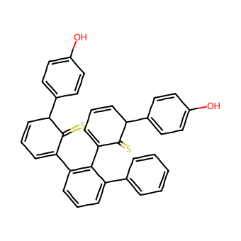 Oc1ccc(C2C=CC=C(c3cccc(-c4ccccc4)c3C3=CC=CC(c4ccc(O)cc4)C3=S)C2=S)cc1